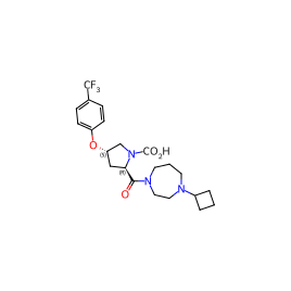 O=C([C@H]1C[C@H](Oc2ccc(C(F)(F)F)cc2)CN1C(=O)O)N1CCCN(C2CCC2)CC1